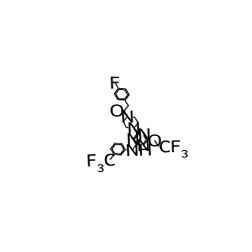 O=C(Cc1ccc(F)cc1)N1CCN(c2nc(Nc3cccc(C(F)(F)F)c3)nc(OCC(F)(F)F)n2)CC1